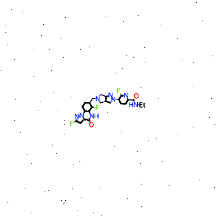 CCNC(=O)c1ccc(-n2cc3c(n2)CN(Cc2ccc4c([nH]c(=O)c5cc(F)nn54)c2F)C3)c(F)n1